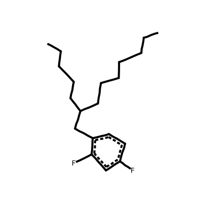 CCCCCCCC(CCCCC)Cc1ccc(F)cc1F